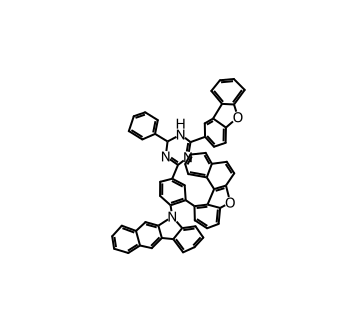 c1ccc(C2N=C(c3ccc(-n4c5ccccc5c5cc6ccccc6cc54)c(-c4cccc5oc6ccc7ccccc7c6c45)c3)N=C(c3ccc4oc5ccccc5c4c3)N2)cc1